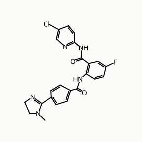 CN1CCN=C1c1ccc(C(=O)Nc2ccc(F)cc2C(=O)Nc2ccc(Cl)cn2)cc1